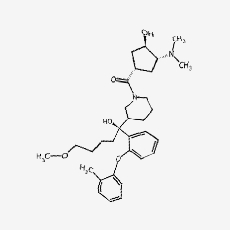 COCCCC[C@@](O)(c1ccccc1Oc1ccccc1C)C1CCCN(C(=O)[C@@H]2C[C@@H](O)[C@H](N(C)C)C2)C1